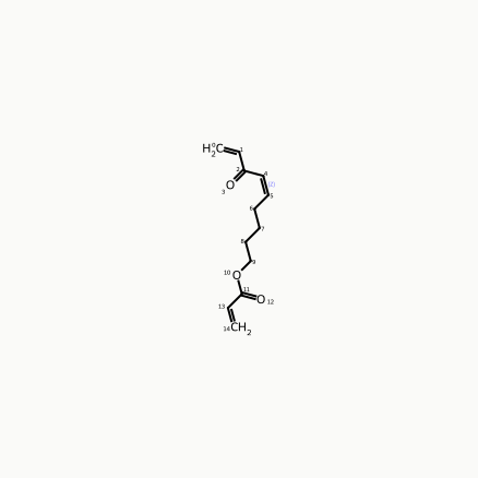 C=CC(=O)/C=C\CCCCOC(=O)C=C